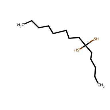 CCCCCCCCC(S)(S)CCCCC